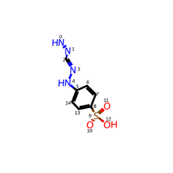 N=NC=NNc1ccc(S(=O)(=O)O)cc1